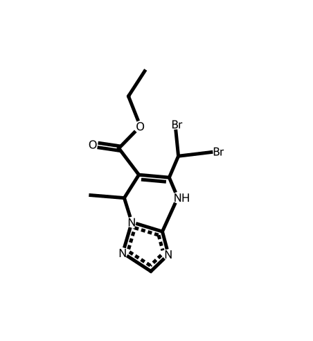 CCOC(=O)C1=C(C(Br)Br)Nc2ncnn2C1C